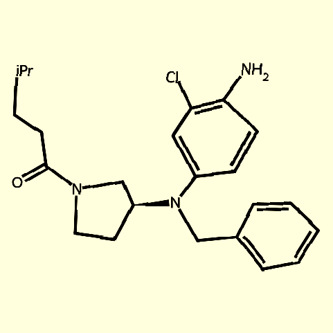 CC(C)CCC(=O)N1CC[C@H](N(Cc2ccccc2)c2ccc(N)c(Cl)c2)C1